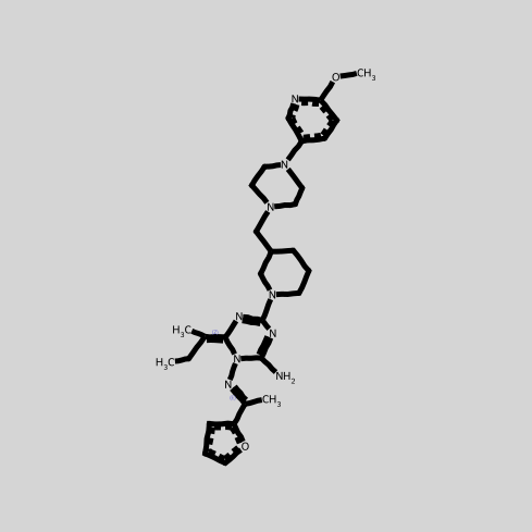 CC/C(C)=C1/N=C(N2CCCC(CN3CCN(c4ccc(OC)nc4)CC3)C2)N=C(N)N1/N=C(\C)c1ccco1